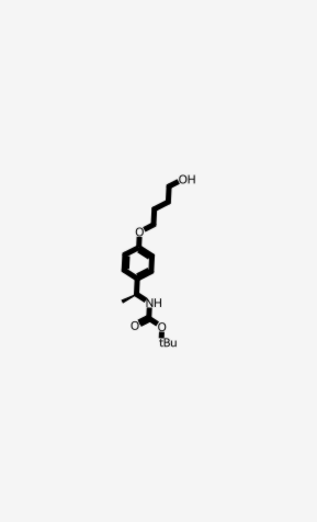 C[C@H](NC(=O)OC(C)(C)C)c1ccc(OCCCCO)cc1